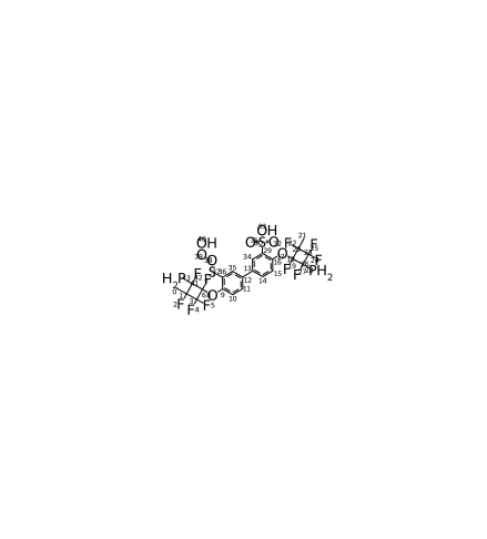 CC1(F)C(F)(F)C(F)(Oc2ccc(-c3ccc(OC4(F)C(C)(F)C(F)(F)C4(F)P)c(S(=O)(=O)O)c3)cc2SOOO)C1(F)P